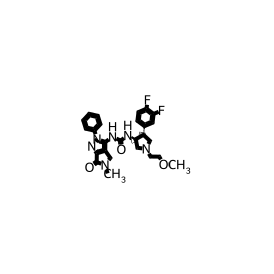 COCCN1C[C@@H](NC(=O)Nc2c3c(nn2-c2ccccc2)C(=O)N(C)C3)[C@H](c2ccc(F)c(F)c2)C1